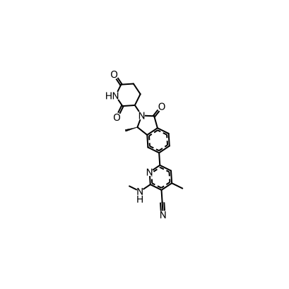 CNc1nc(-c2ccc3c(c2)[C@@H](C)N(C2CCC(=O)NC2=O)C3=O)cc(C)c1C#N